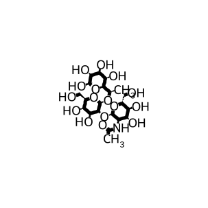 CC(=O)N[C@H]1[C@H](O[C@@H]2[C@@H](O[C@@H](C)[C@H]3O[C@@H](O)[C@H](O)[C@@H](O)[C@@H]3O)O[C@H](CO)[C@@H](O)[C@@H]2O)O[C@H](CO)[C@@H](O)[C@@H]1O